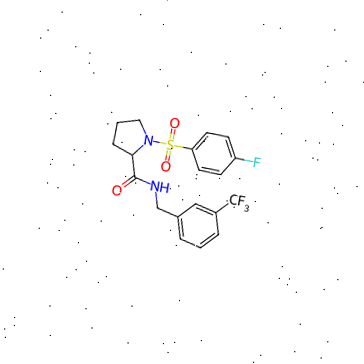 O=C(NCc1cccc(C(F)(F)F)c1)C1CCCN1S(=O)(=O)c1ccc(F)cc1